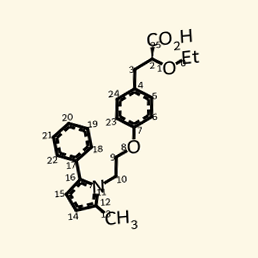 CCO[C@@H](Cc1ccc(OCCn2c(C)ccc2-c2ccccc2)cc1)C(=O)O